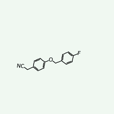 N#CCc1ccc(OCc2ccc(F)cc2)cc1